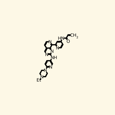 C=CC(=O)Nc1ccnc(-c2nccc3cnc(Nc4ccc(N5CCN(CC)CC5)nc4)nc23)c1